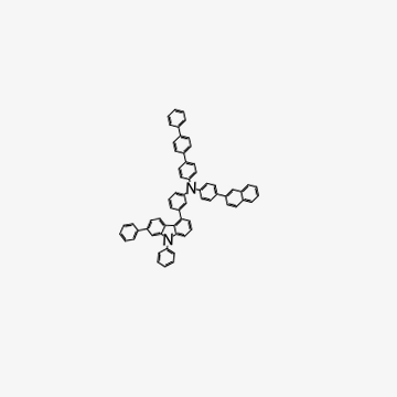 c1ccc(-c2ccc(-c3ccc(N(c4ccc(-c5ccc6ccccc6c5)cc4)c4cccc(-c5cccc6c5c5ccc(-c7ccccc7)cc5n6-c5ccccc5)c4)cc3)cc2)cc1